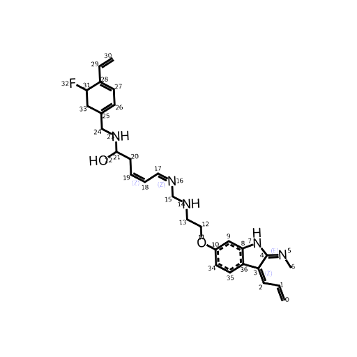 C=C/C=C1\C(=N/C)Nc2cc(OCCNC/N=C\C=C/CC(O)NCC3=CC=C(C=C)C(F)C3)ccc21